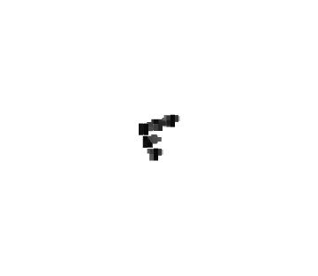 [N-3].[N-3].[Ti+4].[Tl+].[Tl+]